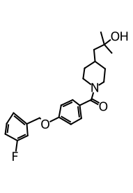 CC(C)(O)CC1CCN(C(=O)c2ccc(OCc3cccc(F)c3)cc2)CC1